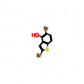 Oc1c(Br)ccc2sc(Br)cc12